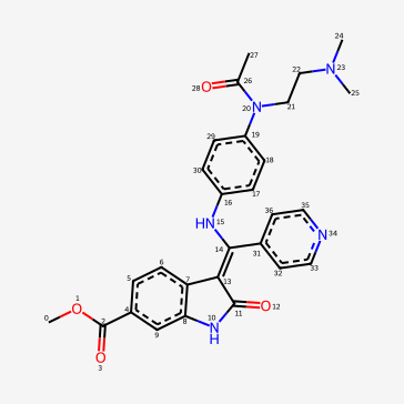 COC(=O)c1ccc2c(c1)NC(=O)C2=C(Nc1ccc(N(CCN(C)C)C(C)=O)cc1)c1ccncc1